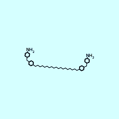 Nc1ccc(Cc2ccc(CCCCCCCCCCCCCCCCCCCc3ccc(Cc4ccc(N)cc4)cc3)cc2)cc1